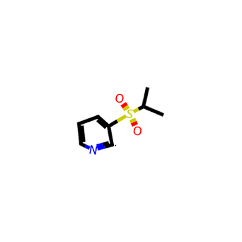 CC(C)S(=O)(=O)c1[c]nccc1